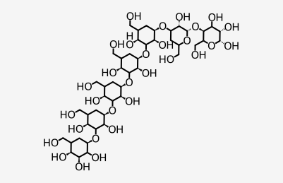 OCC1CC(O[C@@H]2CC(CO)[C@H](O)C(O[C@@H]3CC(CO)[C@H](O)C(O[C@@H]4CC(CO)[C@H](O)C(O[C@@H]5CC(CO)[C@H](O)C(O[C@@H]6CC(CO)[C@H](O)[C@H](O)C6O)[C@@H]5O)[C@@H]4O)[C@@H]3O)[C@@H]2O)[C@H](O)[C@H](O[C@@H]2C(CO)O[C@@H](O)[C@@H](O)C2O)O1